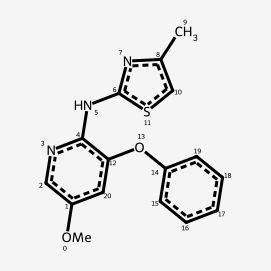 COc1cnc(Nc2nc(C)cs2)c(Oc2ccccc2)c1